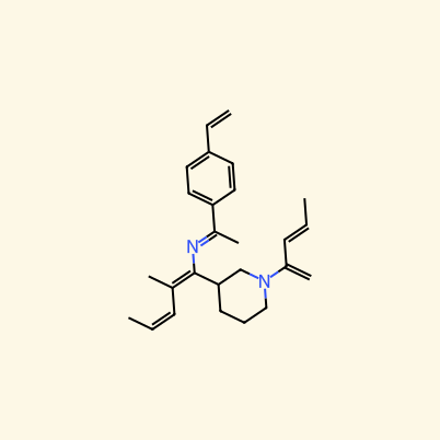 C=Cc1ccc(/C(C)=N/C(=C(C)/C=C\C)C2CCCN(C(=C)/C=C/C)C2)cc1